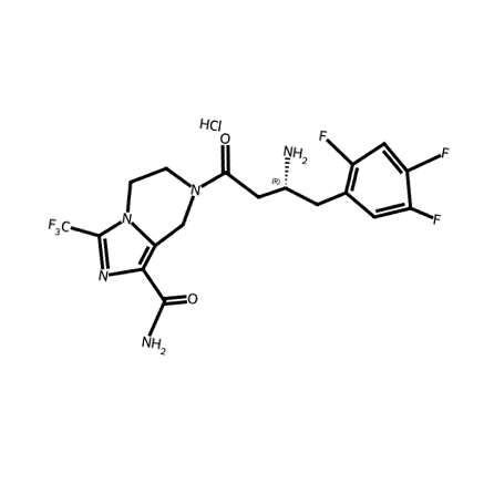 Cl.NC(=O)c1nc(C(F)(F)F)n2c1CN(C(=O)C[C@H](N)Cc1cc(F)c(F)cc1F)CC2